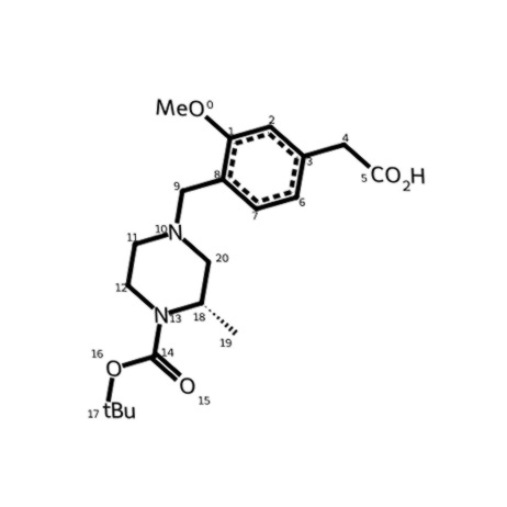 COc1cc(CC(=O)O)ccc1CN1CCN(C(=O)OC(C)(C)C)[C@@H](C)C1